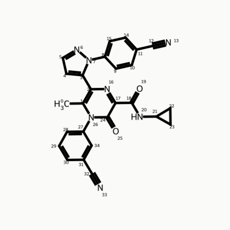 Cc1c(-c2ccnn2-c2ccc(C#N)cc2)nc(C(=O)NC2CC2)c(=O)n1-c1cccc(C#N)c1